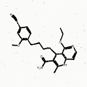 CCOc1nccc2c1C(CCCCc1ccc(C#N)cc1OC)C(C(N)=O)=C(C)N2